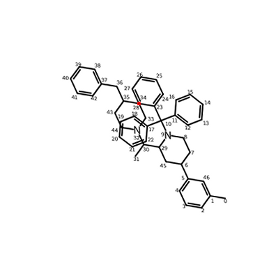 Cc1cccc(C2CCN(C(c3ccccc3)(c3ccccc3)c3ccccc3)C(C(C)N3CCC(Cc4ccccc4)CC3)C2)c1